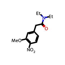 CCN(CC)C(=O)Cc1ccc([N+](=O)[O-])c(OC)c1